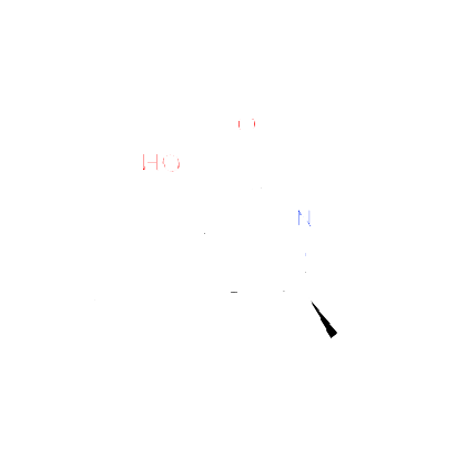 C#CC1(O)C[C@H](C)N(C)C1=O